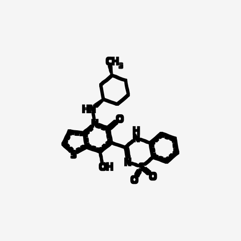 C[C@H]1CCC[C@@H](Nn2c(=O)c(C3=NS(=O)(=O)c4ccccc4N3)c(O)c3sccc32)C1